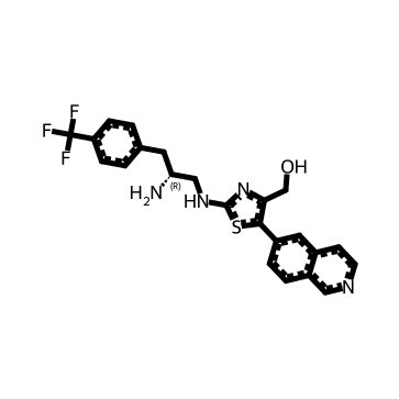 N[C@@H](CNc1nc(CO)c(-c2ccc3cnccc3c2)s1)Cc1ccc(C(F)(F)F)cc1